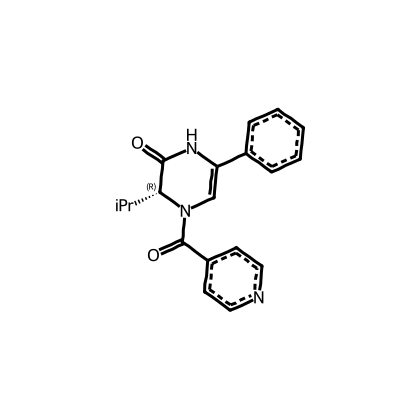 CC(C)[C@@H]1C(=O)NC(c2ccccc2)=CN1C(=O)c1ccncc1